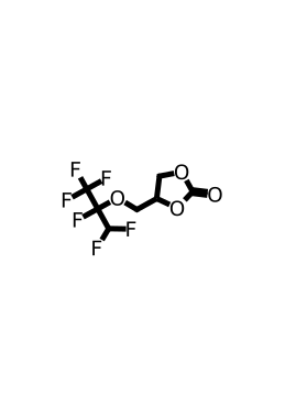 O=C1OCC(COC(F)(C(F)F)C(F)(F)F)O1